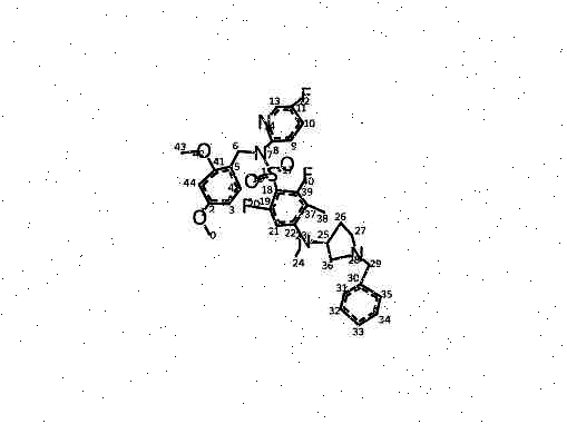 COc1ccc(CN(c2ccc(F)cn2)S(=O)(=O)c2c(F)cc(N(C)[C@H]3CCN(Cc4ccccc4)C3)c(C)c2F)c(OC)c1